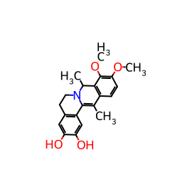 COc1ccc2c(c1OC)C(C)N1CCc3cc(O)c(O)cc3C1=C2C